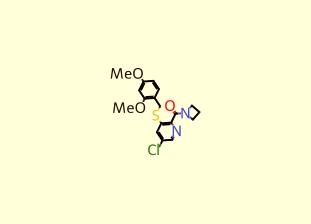 COc1ccc(CSc2cc(Cl)cnc2C(=O)N2CCC2)c(OC)c1